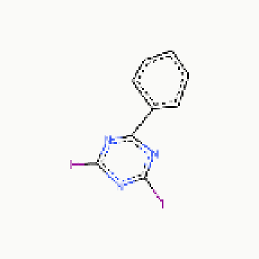 Ic1nc(I)nc(-c2ccccc2)n1